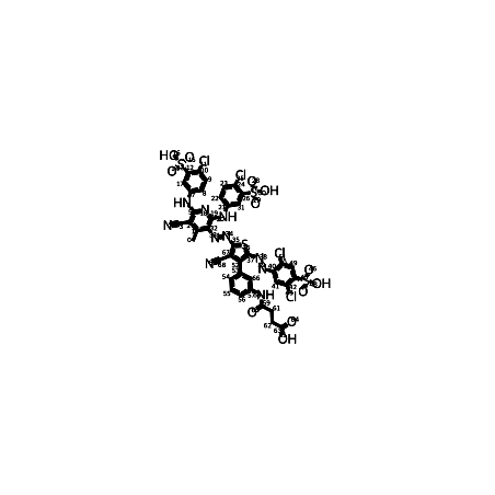 Cc1c(C#N)c(Nc2ccc(Cl)c(S(=O)(=O)O)c2)nc(Nc2ccc(Cl)c(S(=O)(=O)O)c2)c1N=Nc1sc(N=Nc2cc(Cl)c(S(=O)(=O)O)cc2Cl)c(-c2cccc(NC(=O)CCC(=O)O)c2)c1C#N